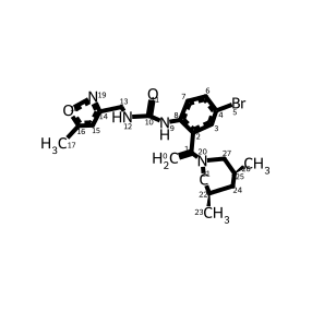 C=C(c1cc(Br)ccc1NC(=O)NCc1cc(C)on1)N1C[C@H](C)C[C@H](C)C1